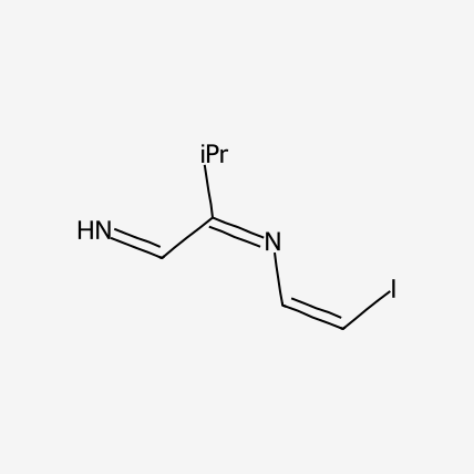 CC(C)/C(C=N)=N/C=C\I